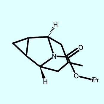 CC1C[C@@H]2C3CC3[C@@H](C1)N2C(=O)OC(C)C